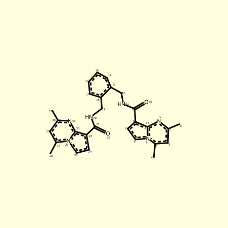 Cc1cc(C)n2ccc(C(=O)NCc3ccccc3CNC(=O)c3ccn4c(C)cc(C)nc34)c2n1